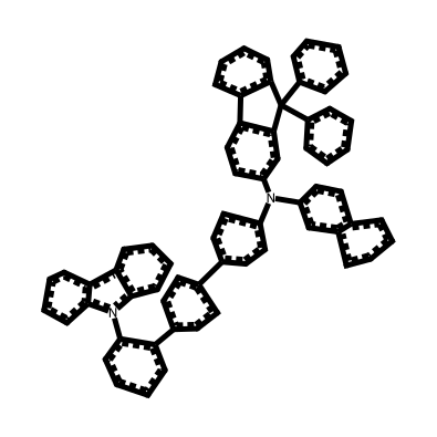 c1ccc(C2(c3ccccc3)c3ccccc3-c3ccc(N(c4ccc(-c5ccc(-c6ccccc6-n6c7ccccc7c7ccccc76)cc5)cc4)c4ccc5ccccc5c4)cc32)cc1